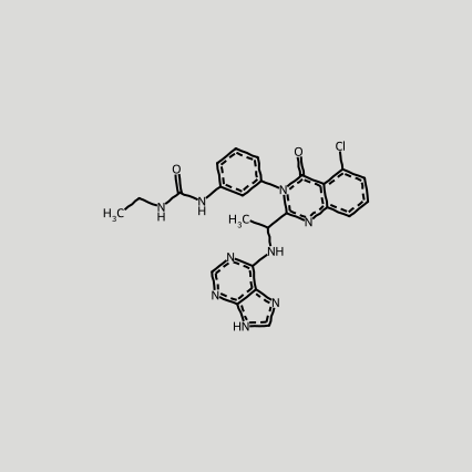 CCNC(=O)Nc1cccc(-n2c(C(C)Nc3ncnc4[nH]cnc34)nc3cccc(Cl)c3c2=O)c1